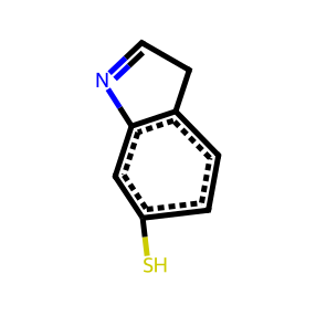 Sc1ccc2c(c1)N=CC2